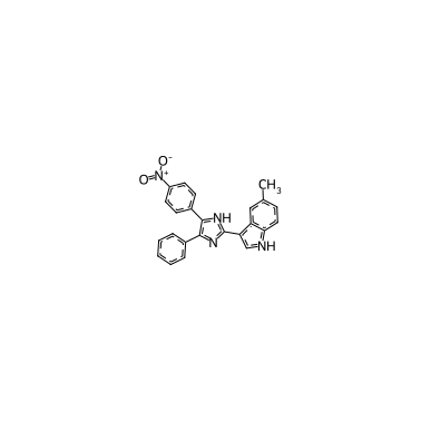 Cc1ccc2[nH]cc(-c3nc(-c4ccccc4)c(-c4ccc([N+](=O)[O-])cc4)[nH]3)c2c1